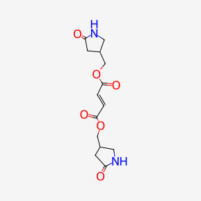 O=C1CC(COC(=O)/C=C/C(=O)OCC2CNC(=O)C2)CN1